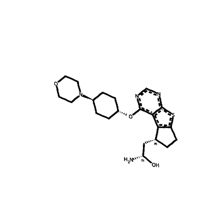 N[C@@H](O)C[C@H]1CCc2sc3ncnc(O[C@H]4CC[C@H](N5CCOCC5)CC4)c3c21